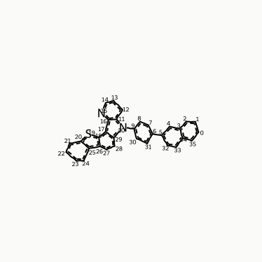 c1ccc2cc(-c3ccc(-n4c5cccnc5c5c6sc7ccccc7c6ccc54)cc3)ccc2c1